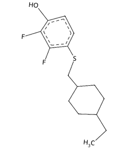 CCC1CCC(CSc2ccc(O)c(F)c2F)CC1